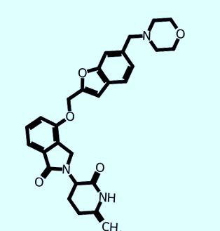 C=C1CCC(N2Cc3c(OCc4cc5ccc(CN6CCOCC6)cc5o4)cccc3C2=O)C(=O)N1